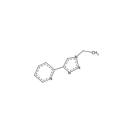 CCn1cc(-c2ccccn2)nn1